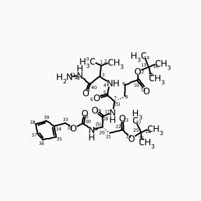 CC(C)C(NC(=O)[C@H](CCC(=O)OC(C)(C)C)NC(=O)[C@H](CC(=O)OC(C)(C)C)NC(=O)OCc1ccccc1)C(=O)NN